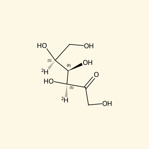 [2H][C@](O)(CO)[C@@H](O)[C@]([2H])(O)C(=O)CO